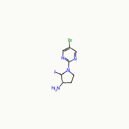 NC1CCN(c2ncc(Br)cn2)C1I